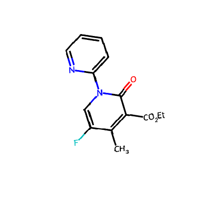 CCOC(=O)c1c(C)c(F)cn(-c2ccccn2)c1=O